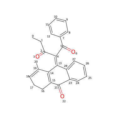 CCC(=O)/C(C(=O)c1ccccc1)=C1\C2=C(CCC=C2C)C(=O)c2ccccc21